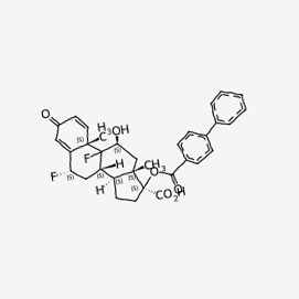 C[C@]12C=CC(=O)C=C1[C@@H](F)C[C@H]1[C@@H]3CC[C@@](OC(=O)c4ccc(-c5ccccc5)cc4)(C(=O)O)[C@@]3(C)C[C@H](O)C12F